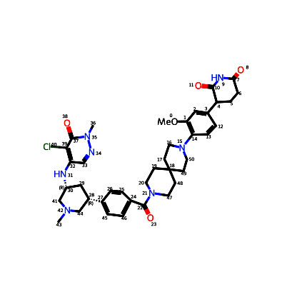 COc1cc(C2CCC(=O)NC2=O)ccc1N1CCC2(CCN(C(=O)c3ccc([C@H]4C[C@@H](Nc5cnn(C)c(=O)c5Cl)CN(C)C4)cc3)CC2)CC1